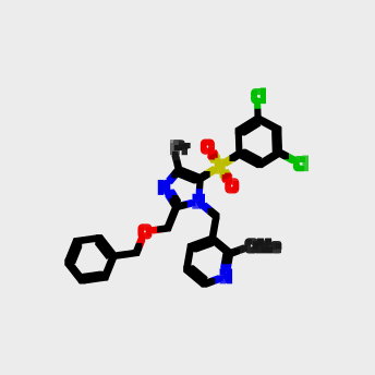 COc1ncccc1Cn1c(COCc2ccccc2)nc(C(C)C)c1S(=O)(=O)c1cc(Cl)cc(Cl)c1